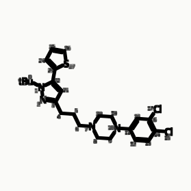 CC(C)(C)n1nc(CCCN2CCN(c3ccc(Cl)c(Cl)c3)CC2)cc1-c1cccs1